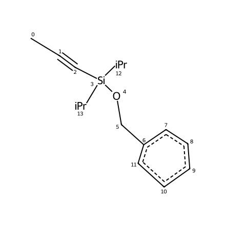 CC#C[Si](OCc1ccccc1)(C(C)C)C(C)C